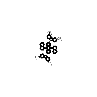 FC(F)(F)c1ccc2c(c1)c1cc(C(F)(F)F)ccc1n2-c1ccc2c(-c3cccc4ccccc34)c3cc(-n4c5ccc(C(F)(F)F)cc5c5cc(C(F)(F)F)ccc54)ccc3c(-c3cccc4ccccc34)c2c1